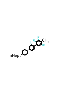 CCCCCCC[C@H]1CC[C@H](c2ccc(-c3cc(F)c(C)c(F)c3F)c(F)c2)CC1